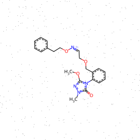 COc1nn(C)c(=O)n1-c1ccccc1COC/C=N\OCCc1ccccc1